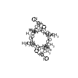 CC(C)C[C@H]1C(=O)O[C@H](Cc2ccc(Cn3cc(-c4ccccn4)cn3)cc2)C(=O)N(C)[C@@H](CC(C)C)C(=O)O[C@H](C)C(=O)N(C)[C@@H](CC(C)C)C(=O)O[C@H](Cc2ccc(Cn3cc(-c4ccccn4)cn3)cc2)C(=O)N(C)[C@@H](CC(C)C)C(=O)O[C@H](C)C(=O)N1C